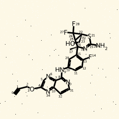 C#CCOc1cnc2c(Nc3ccc(F)c([C@@]4(C)N=C(N)S[C@]5(CO)C4C5(F)F)c3)nccc2n1